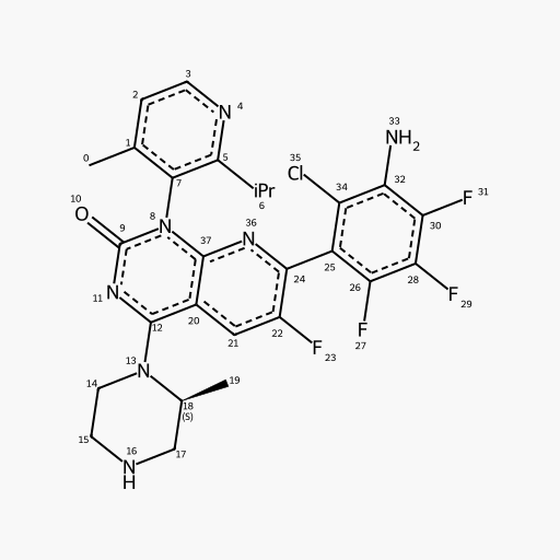 Cc1ccnc(C(C)C)c1-n1c(=O)nc(N2CCNC[C@@H]2C)c2cc(F)c(-c3c(F)c(F)c(F)c(N)c3Cl)nc21